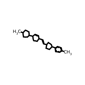 Cc1ccc(C2CCC(/C=C/C3C=CC(C4CCC(C)CC4)CC3)CC2)cc1